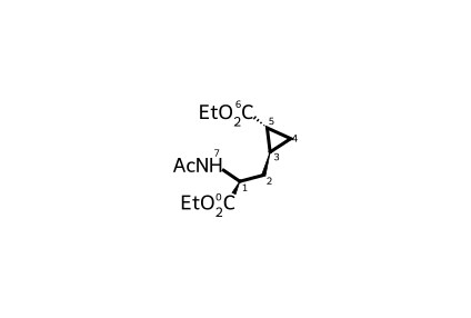 CCOC(=O)[C@H](C[C@@H]1C[C@H]1C(=O)OCC)NC(C)=O